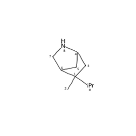 CC(C)C1(C)CC2CC1CN2